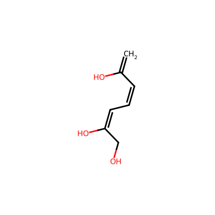 C=C(O)/C=C\C=C(\O)CO